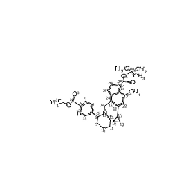 COC(=O)c1ccc([C@@H]2CCCCN2Cc2c(C3CC3)cc(C)c3c2ccn3C(=O)OC(C)(C)C)cn1